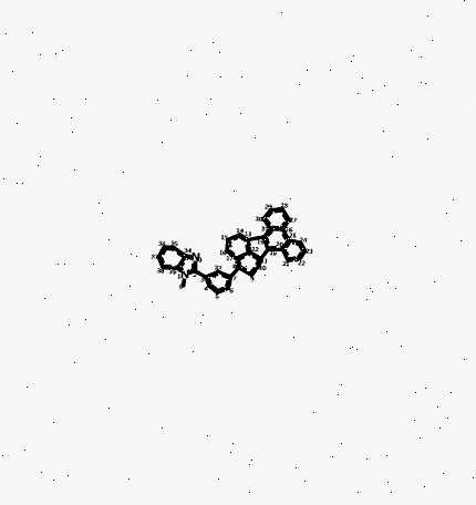 Cn1c(-c2cccc(-c3ccc4c5c(cccc35)-c3c-4c4ccccc4c4ccccc34)c2)nc2ccccc21